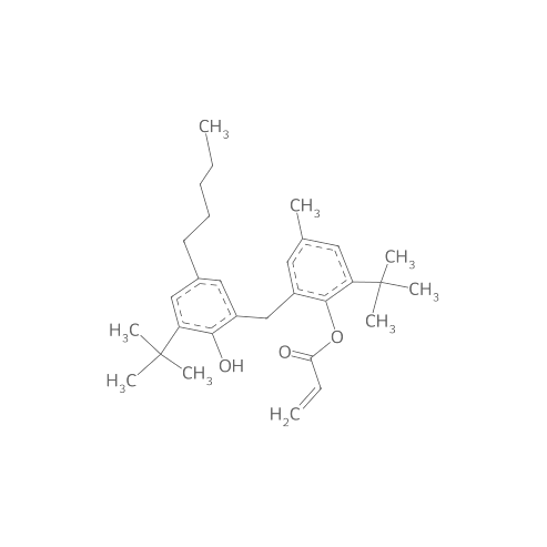 C=CC(=O)Oc1c(Cc2cc(CCCCC)cc(C(C)(C)C)c2O)cc(C)cc1C(C)(C)C